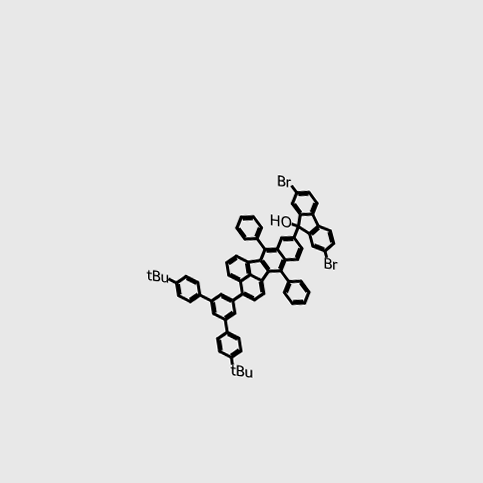 CC(C)(C)c1ccc(-c2cc(-c3ccc(C(C)(C)C)cc3)cc(-c3ccc4c5c(cccc35)-c3c-4c(-c4ccccc4)c4ccc(C5(O)c6cc(Br)ccc6-c6ccc(Br)cc65)cc4c3-c3ccccc3)c2)cc1